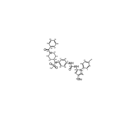 Cc1ccc(-n2nc(C(C)(C)C)cc2NC(=O)Nc2ccc(N(C3CCN(C(=O)c4ccccc4)CC3)S(C)(=O)=O)cc2)cc1